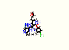 COc1c(Cl)cccc1Nc1c(-c2ccncc2F)[nH]c2c1C(=O)NC[C@@H]2C[C@H]1CCO1